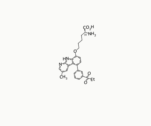 CCS(=O)(=O)c1cccc(-c2ccc(OCCCC[C@H](N)C(=O)O)c3[nH]c4ncc(C)cc4c23)c1